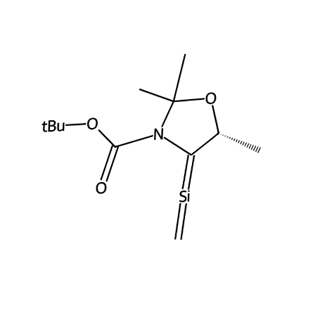 C=[Si]=C1[C@@H](C)OC(C)(C)N1C(=O)OC(C)(C)C